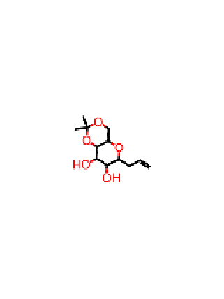 C=CCC1OC2COC(C)(C)OC2C(O)C1O